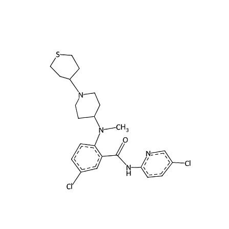 CN(c1ccc(Cl)cc1C(=O)Nc1ccc(Cl)cn1)C1CCN(C2CCSCC2)CC1